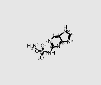 NOS(=O)(=O)Nc1ncc2[nH]cnc2n1